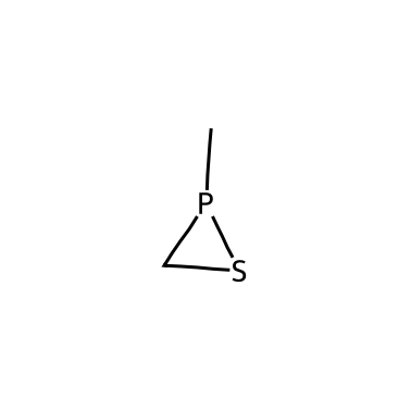 CP1CS1